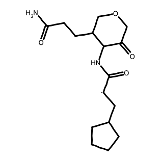 NC(=O)CCC1COCC(=O)C1NC(=O)[CH]CC1CCCC1